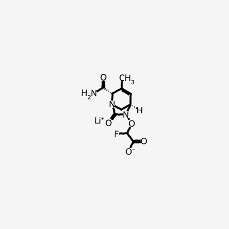 CC1=C[C@@H]2CN(C(=O)N2OC(F)C(=O)[O-])[C@@H]1C(N)=O.[Li+]